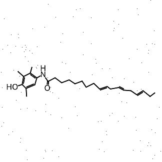 CCC=CCC=CCC=CCCCCCCCC(=O)Nc1cc(C)c(O)c(C)c1C